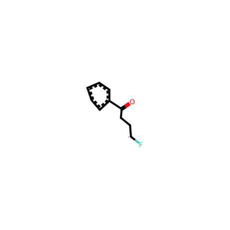 O=C(CC[CH]F)c1ccccc1